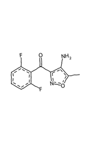 Cc1onc(C(=O)c2c(F)cccc2F)c1N